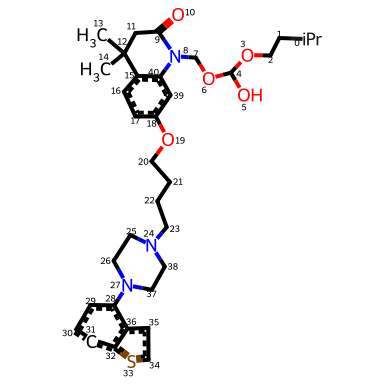 CC(C)CCOC(O)OCN1C(=O)CC(C)(C)c2ccc(OCCCCN3CCN(c4cccc5sccc45)CC3)cc21